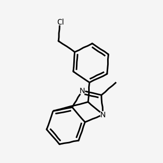 Cc1nc2c3cccc2n1C3c1cccc(CCl)c1